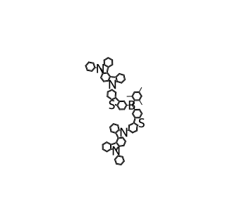 Cc1cc(C)c(B(c2ccc3sc4ccc(-n5c6ccccc6c6c7c8ccccc8n(-c8ccccc8)c7ccc65)cc4c3c2)c2ccc3sc4ccc(-n5c6ccccc6c6c7c8ccccc8n(-c8ccccc8)c7ccc65)cc4c3c2)c(C)c1